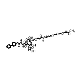 CC(=O)NCCOCCOCCOCCOCCNC(=O)CCOCCO[C@]1(C(=O)O)C[C@H](O)[C@@H](NC(=O)CO)[C@H]([C@H](O)[C@H](O)CNC(=O)Cc2ccc(-c3ccccc3)cc2)O1